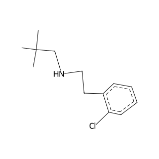 CC(C)(C)CNCCc1ccccc1Cl